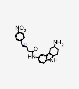 NC1CCc2[nH]c3ccc(NC(=O)C/C=C/c4ccc([N+](=O)[O-])cc4)cc3c2C1